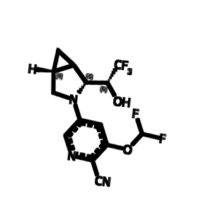 N#Cc1ncc(N2C[C@@H]3CC3[C@@H]2[C@@H](O)C(F)(F)F)cc1OC(F)F